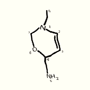 CN1C=CC(N)OC1